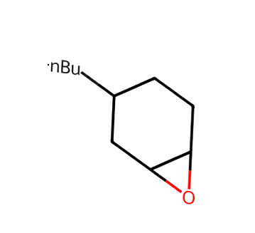 CCC[CH]C1CCC2OC2C1